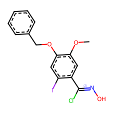 COc1cc(/C(Cl)=N/O)c(I)cc1OCc1ccccc1